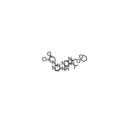 CO[C@@H]1CCN(c2nccc(Nc3cc4c(cn3)nc(COC3CCCCO3)n4C(C)C)n2)C[C@@H]1Cl